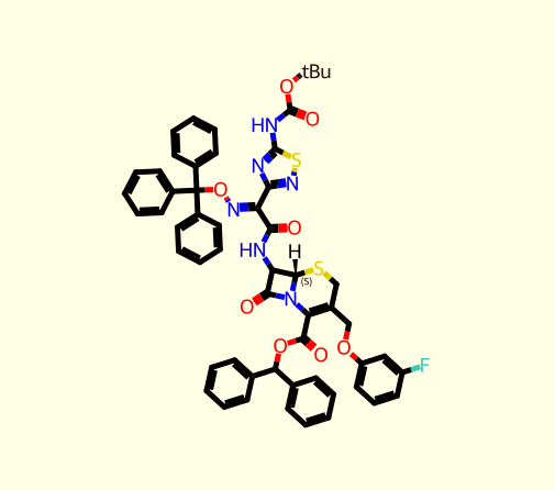 CC(C)(C)OC(=O)Nc1nc(C(=NOC(c2ccccc2)(c2ccccc2)c2ccccc2)C(=O)NC2C(=O)N3C(C(=O)OC(c4ccccc4)c4ccccc4)=C(COc4cccc(F)c4)CS[C@@H]23)ns1